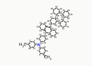 Cc1ccc(N(c2ccc(C)cc2)c2ccc(-c3c4ccccc4c(-c4ccc5c(c4)-c4ccccc4-c4ccccc4-c4ccccc4-5)c4ccccc34)cc2)cc1